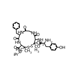 CC(C)OC(=O)C1NC(=O)C(Cc2ccccc2)NC(=O)CNC(=O)C(NC(=O)C(N)Cc2ccc(O)cc2)C(C)(C)SSC1(C)C